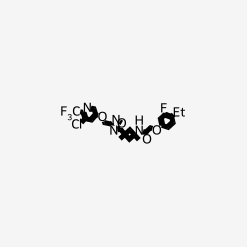 CCc1ccc(OCC(=O)NC2(C)CC(C)(c3nc(COc4cnc(C(F)(F)F)c(Cl)c4)no3)C2)cc1F